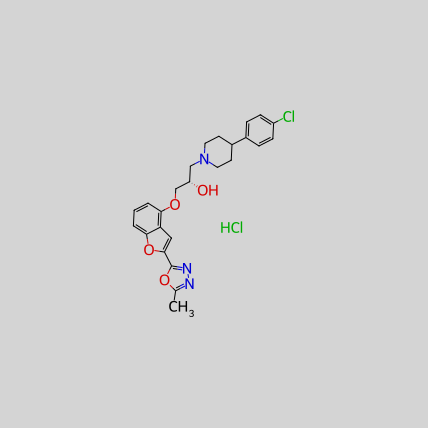 Cc1nnc(-c2cc3c(OC[C@@H](O)CN4CCC(c5ccc(Cl)cc5)CC4)cccc3o2)o1.Cl